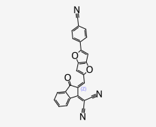 N#CC(C#N)=C1/C(=C/c2cc3oc(-c4ccc(C#N)cc4)cc3o2)C(=O)c2ccccc21